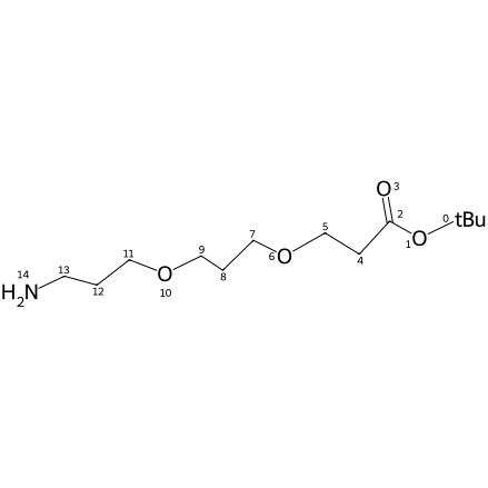 CC(C)(C)OC(=O)CCOCCCOCCCN